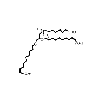 CCCCCCCC/C=C\CCCCCCCCOCC(C[N+](C)(C)CCCCCCCC=O)OCCCCCCCC/C=C\CCCCCCCC